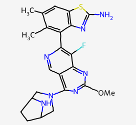 COc1nc(N2CC3CCC(C2)N3)c2cnc(-c3c(C)c(C)cc4sc(N)nc34)c(F)c2n1